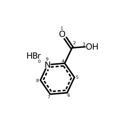 Br.O=C(O)c1ccccn1